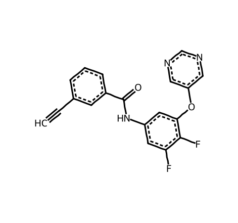 C#Cc1cccc(C(=O)Nc2cc(F)c(F)c(Oc3cncnc3)c2)c1